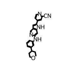 N#Cc1cc(-c2cc3cnc(Nc4cccc(C5CCOCC5)c4)cc3[nH]2)ccn1